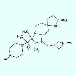 CC(=O)N1CCN(C(C)(C)C(C)(C(C)NCC2CN(C(C)=O)C2)N2CCC3(CCC(=O)N3)CC2)CC1